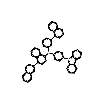 c1cc(-c2cccc3ccccc23)cc(N(c2ccc(-n3c4ccccc4c4ccccc43)cc2)c2ccc(-c3ccc4ccccc4c3)c3ccccc23)c1